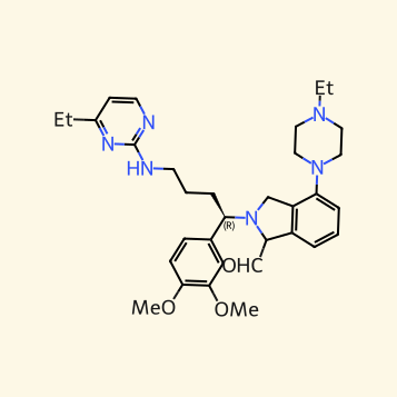 CCc1ccnc(NCCC[C@H](c2ccc(OC)c(OC)c2)N2Cc3c(cccc3N3CCN(CC)CC3)C2C=O)n1